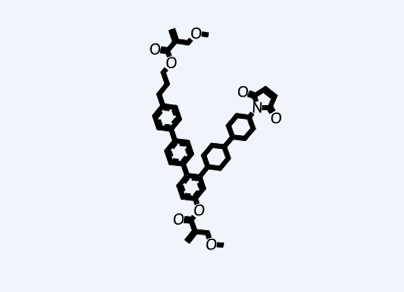 C=C(COC)C(=O)OCCCc1ccc(-c2ccc(-c3ccc(OC(=O)C(=C)COC)cc3C3CCC(C4CCC(N5C(=O)C=CC5=O)CC4)CC3)cc2)cc1